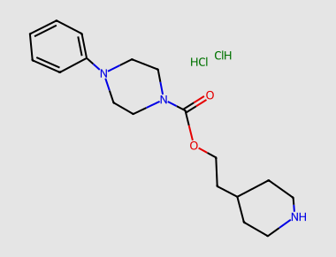 Cl.Cl.O=C(OCCC1CCNCC1)N1CCN(c2ccccc2)CC1